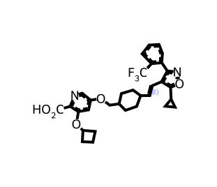 O=C(O)c1ncc(OCC2CCC(/C=C/c3c(-c4ccccc4C(F)(F)F)noc3C3CC3)CC2)cc1OC1CCC1